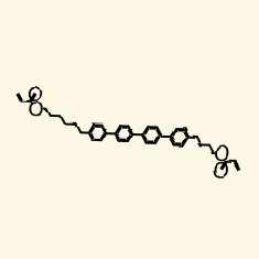 C=CC(=O)OCCCCCCc1ccc(-c2ccc(-c3ccc(-c4ccc(CCCCOC(=O)C=C)cc4)cc3)cc2)cc1